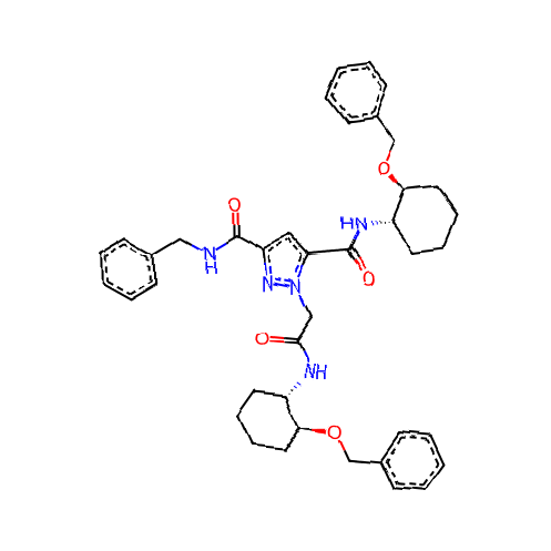 O=C(Cn1nc(C(=O)NCc2ccccc2)cc1C(=O)N[C@H]1CCCC[C@@H]1OCc1ccccc1)N[C@H]1CCCC[C@@H]1OCc1ccccc1